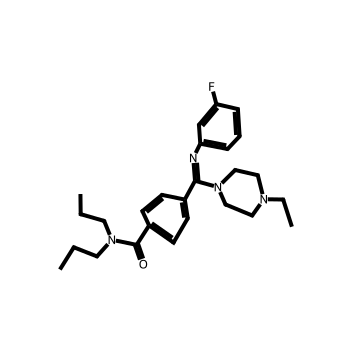 CCCN(CCC)C(=O)c1ccc(C(=Nc2cccc(F)c2)N2CCN(CC)CC2)cc1